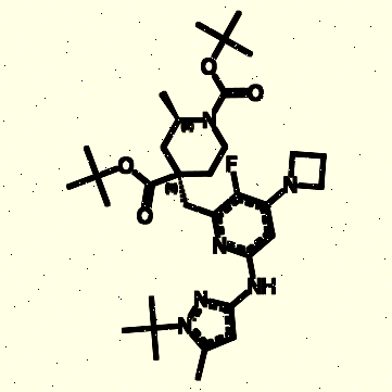 Cc1cc(Nc2cc(N3CCC3)c(F)c(C[C@@]3(C(=O)OC(C)(C)C)CCN(C(=O)OC(C)(C)C)[C@H](C)C3)n2)nn1C(C)(C)C